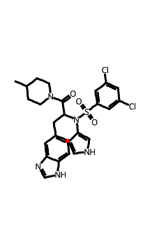 CC1CCN(C(=O)C(Cc2ccc3[nH]cnc3c2)N(c2cc[nH]c2)S(=O)(=O)c2cc(Cl)cc(Cl)c2)CC1